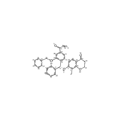 Cc1c(O[C@H](c2ccncc2)c2ccc(C(N)=O)cc2OCc2ccccc2)ccc2c1OCCC2=O